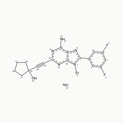 CCn1c(-c2cc(F)cc(F)c2)nc2c(N)nc(C#CC3(O)CCCC3)nc21.Cl